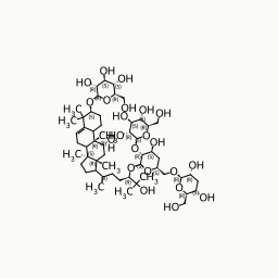 C[C@H](CC[C@@H](O[C@@H]1O[C@H](CO[C@@H]2O[C@H](CO)[C@@H](O)C[C@H]2O)C[C@H](O)[C@H]1O[C@@H]1O[C@H](CO)[C@@H](O)[C@H](O)[C@H]1O)C(C)(C)O)C1CC[C@@]2(C)C3CC=C4C(CC[C@H](O[C@@H]5O[C@H](CO)[C@@H](O)[C@H](O)[C@H]5O)C4(C)C)[C@]3(C)[C@H](O)C[C@]12C